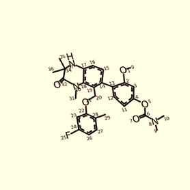 COc1cc(OC(=O)N(C)C)ccc1-c1ccc2c(c1COc1cc(F)ccc1C)N(C)C(=O)C(C)(C)N2